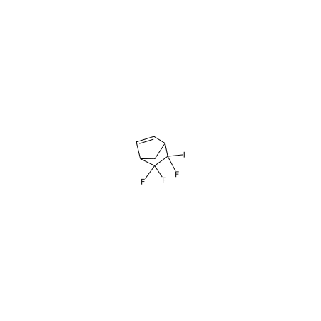 FC1(F)C2C=CC(C2)C1(F)I